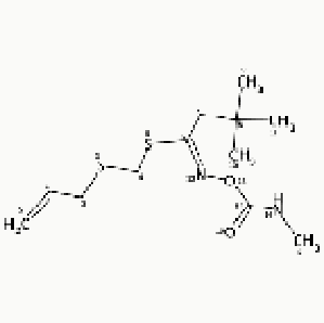 C=CCSCSC(CC(C)(C)C)=NOC(=O)NC